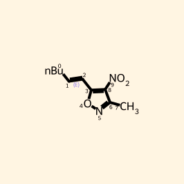 CCCC/C=C/c1onc(C)c1[N+](=O)[O-]